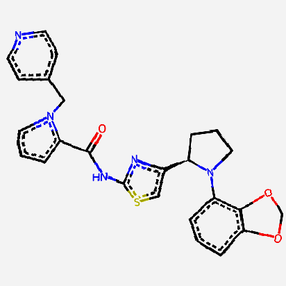 O=C(Nc1nc([C@H]2CCCN2c2cccc3c2OCO3)cs1)c1cccn1Cc1ccncc1